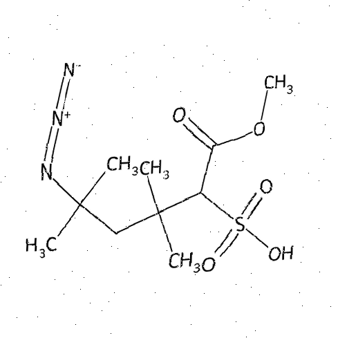 COC(=O)C(C(C)(C)CC(C)(C)N=[N+]=[N-])S(=O)(=O)O